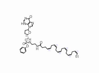 CC/C=C\C/C=C\C/C=C\C/C=C\C/C=C\C/C=C\CCC(=O)NCCNP(=O)(OC[C@@H]1CCC(n2cnc3c(=O)nc[nH]c32)O1)Oc1ccccc1